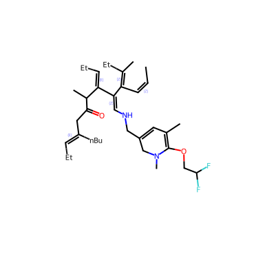 C\C=C/C(C(=C\NCC1=CC(C)=C(OCC(F)F)N(C)C1)/C(=C/CC)C(C)C(=O)C/C(=C/CC)CCCC)=C(\C)CC